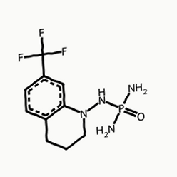 NP(N)(=O)NN1CCCc2ccc(C(F)(F)F)cc21